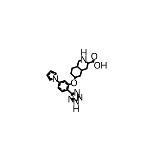 O=C(O)C1CC2CC(Oc3cc(-n4cccc4)ccc3-c3nn[nH]n3)CCC2CN1